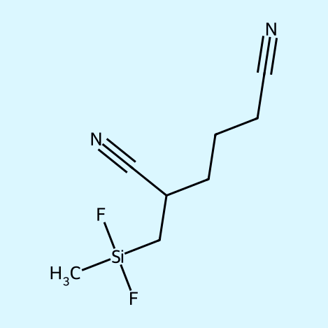 C[Si](F)(F)CC(C#N)CCCC#N